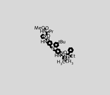 CCN(CC)[C@@H](C(=O)N1C[Si](C)(C)C[C@H]1c1nc2ccc(CN(Cc3ccc4nc([C@@H]5CCCN5C(=O)[C@@H](NC(=O)OC)C(C)C)[nH]c4c3)c3ccc(C(C)(C)C)cc3)cc2[nH]1)c1ccccc1